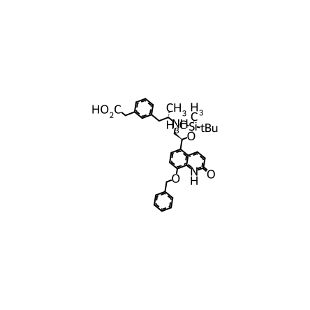 C[C@@H](Cc1cccc(CC(=O)O)c1)NC[C@@H](O[Si](C)(C)C(C)(C)C)c1ccc(OCc2ccccc2)c2[nH]c(=O)ccc12